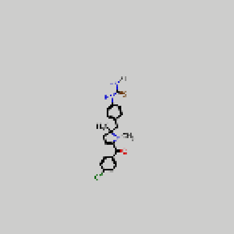 CCNC(=S)Nc1ccc(CC2(C)CC=C(C(=O)c3ccc(Cl)cc3)N2C)cc1